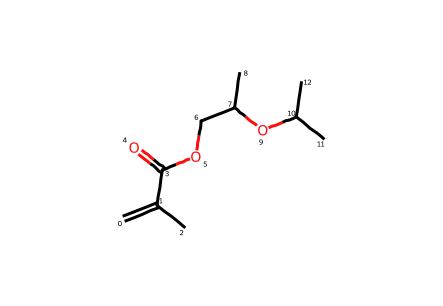 C=C(C)C(=O)OCC(C)OC(C)C